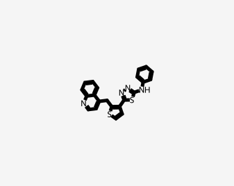 c1ccc(Nc2nnc(-c3ccsc3Cc3ccnc4ccccc34)s2)cc1